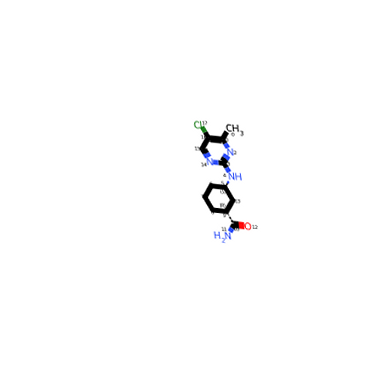 Cc1nc(N[C@H]2CCC[C@@H](C(N)=O)C2)ncc1Cl